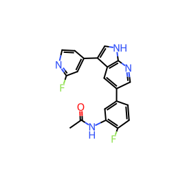 CC(=O)Nc1cc(-c2cnc3[nH]cc(-c4ccnc(F)c4)c3c2)ccc1F